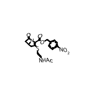 CC(=O)NC=CSC1=C(C(=O)OCc2ccc([N+](=O)[O-])cc2)N2C(=O)CC2C1